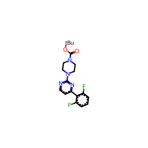 CC(C)(C)OC(=O)N1CCN(c2nccc(-c3c(F)cccc3F)n2)CC1